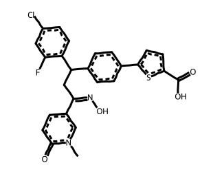 Cn1cc(C(CC(c2ccc(-c3ccc(C(=O)O)s3)cc2)c2ccc(Cl)cc2F)=NO)ccc1=O